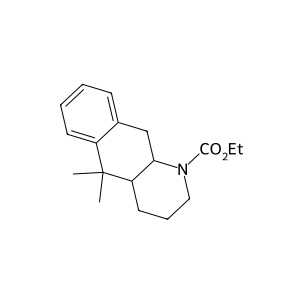 CCOC(=O)N1CCCC2C1Cc1ccccc1C2(C)C